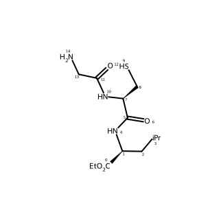 CCOC(=O)[C@H](CC(C)C)NC(=O)[C@H](CS)NC(=O)CN